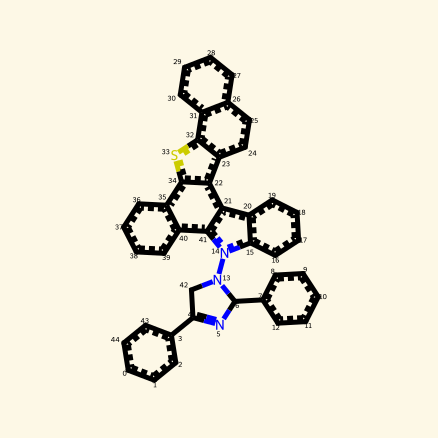 c1ccc(C2=NC(c3ccccc3)N(n3c4ccccc4c4c5c6ccc7ccccc7c6sc5c5ccccc5c43)C2)cc1